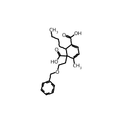 CCCCC1C(C(=O)O)=CC=C(C)C1(CCOCc1ccccc1)C(=O)O